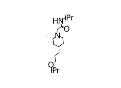 CC(C)NC(=O)CN1CC[C@H](CCCOC(C)C)C[C@@H]1C